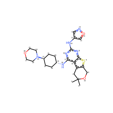 CC1(C)Cc2c(sc3nc(Nc4cnoc4)nc(N[C@H]4CC[C@H](N5CCOCC5)CC4)c23)CO1